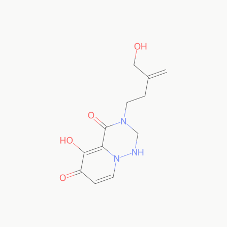 C=C(CO)CCN1CNn2ccc(=O)c(O)c2C1=O